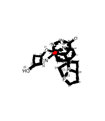 Nc1nnc(Cl)cc1N1CC2CCP(C1)N2c1ccnc(OC2CC(O)C2)c1